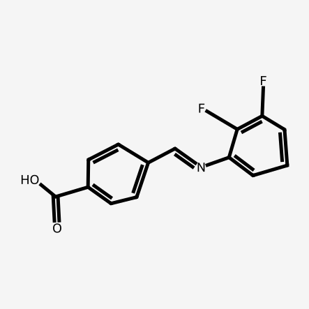 O=C(O)c1ccc(C=Nc2cccc(F)c2F)cc1